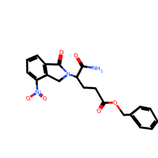 NC(=O)C(CCC(=O)OCc1ccccc1)N1Cc2c(cccc2[N+](=O)[O-])C1=O